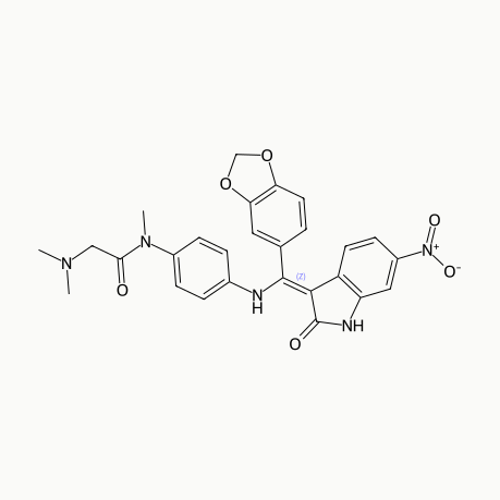 CN(C)CC(=O)N(C)c1ccc(N/C(=C2\C(=O)Nc3cc([N+](=O)[O-])ccc32)c2ccc3c(c2)OCO3)cc1